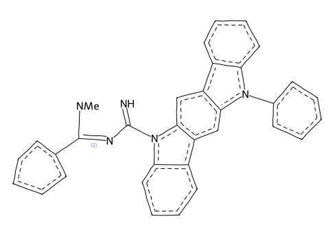 CN/C(=N\C(=N)n1c2ccccc2c2cc3c(cc21)c1ccccc1n3-c1ccccc1)c1ccccc1